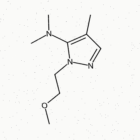 COCCn1ncc(C)c1N(C)C